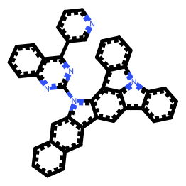 c1cncc(-c2nc(-n3c4cc5ccccc5cc4c4cc5c6ccccc6n6c7ccccc7c(c43)c56)nc3ccccc23)c1